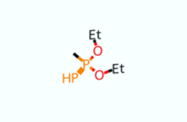 CCOP(C)(=P)OCC